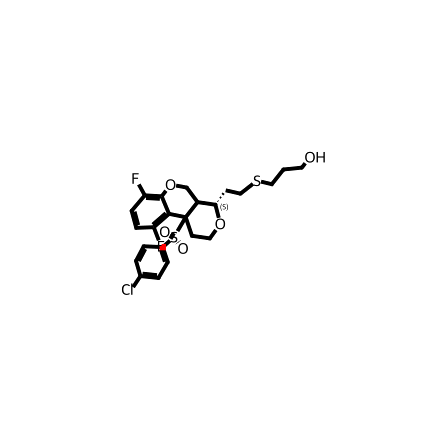 O=S(=O)(c1ccc(Cl)cc1)C12CCO[C@@H](CCSCCCO)C1COc1c(F)ccc(F)c12